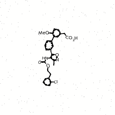 COc1ccc(CC(=O)O)cc1-c1cccc(-c2onc(C)c2NC(=O)OCCc2ccccc2Cl)c1